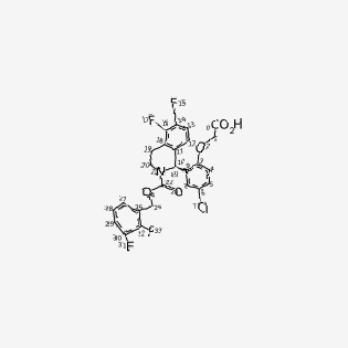 O=C(O)COc1ccc(Cl)cc1[C@@H]1c2ccc(F)c(F)c2CCN1C(=O)OCc1cccc(F)c1F